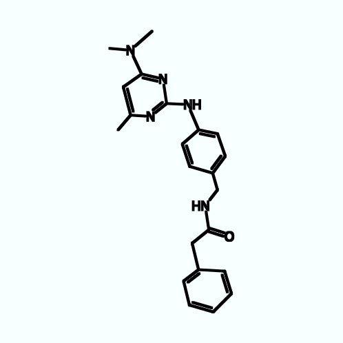 Cc1cc(N(C)C)nc(Nc2ccc(CNC(=O)Cc3ccccc3)cc2)n1